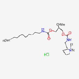 CCCCCCCCCCCCCCCCCCNC(=O)OCC(COC(=O)NCC1CCC[N+]1(CC)C(C)=O)OC.Cl